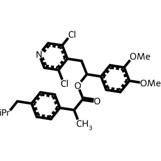 COc1ccc(C(Cc2c(Cl)cncc2Cl)OC(=O)C(C)c2ccc(CC(C)C)cc2)cc1OC